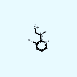 C[C@H](CO)c1ncccc1F